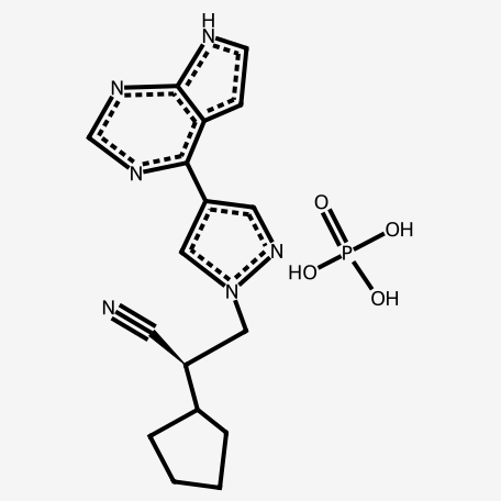 N#C[C@@H](Cn1cc(-c2ncnc3[nH]ccc23)cn1)C1CCCC1.O=P(O)(O)O